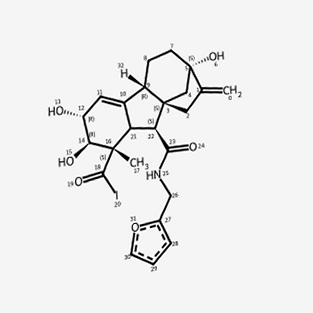 C=C1C[C@]23C[C@@]1(O)CC[C@H]2C1=C[C@@H](O)[C@H](O)[C@@](C)(C(=O)I)C1[C@@H]3C(=O)NCc1ccco1